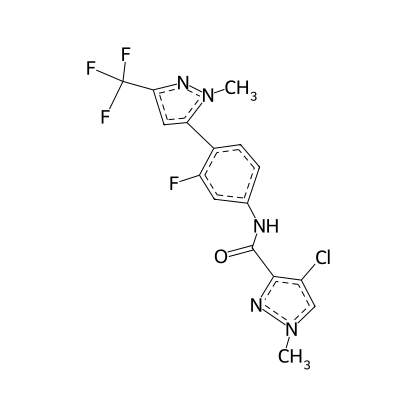 Cn1cc(Cl)c(C(=O)Nc2ccc(-c3cc(C(F)(F)F)nn3C)c(F)c2)n1